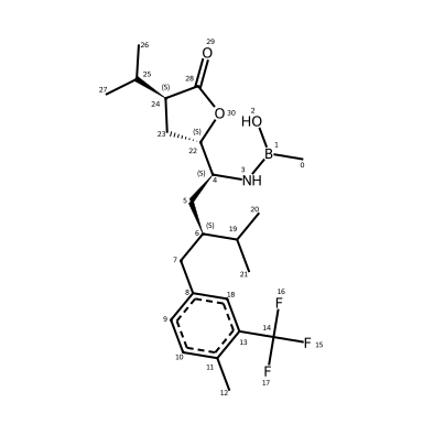 CB(O)N[C@@H](C[C@H](Cc1ccc(C)c(C(F)(F)F)c1)C(C)C)[C@@H]1C[C@@H](C(C)C)C(=O)O1